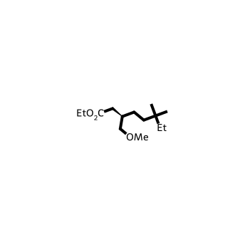 CCOC(=O)C[C@@H](CCC(C)(C)CC)COC